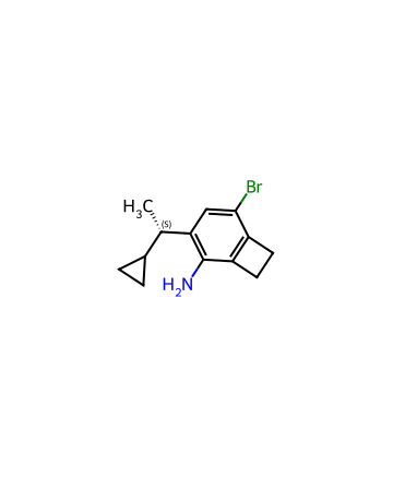 C[C@H](c1cc(Br)c2c(c1N)CC2)C1CC1